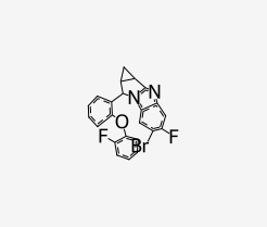 Fc1cc2nc3n(c2cc1Br)C(c1ccccc1Oc1ccccc1F)C1CC31